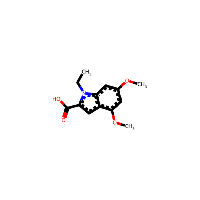 CCn1c(C(=O)O)cc2c(OC)cc(OC)cc21